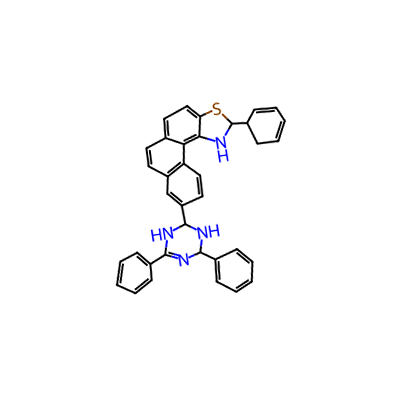 C1=CCC(C2Nc3c(ccc4ccc5cc(C6NC(c7ccccc7)=NC(c7ccccc7)N6)ccc5c34)S2)C=C1